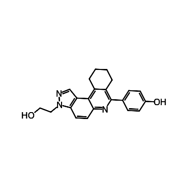 OCCn1ncc2c3c4c(c(-c5ccc(O)cc5)nc3ccc21)CCCC4